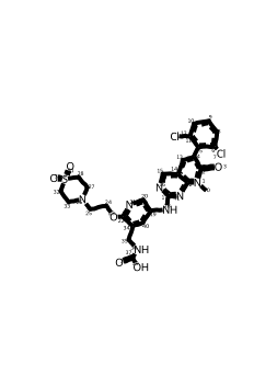 Cn1c(=O)c(-c2c(Cl)cccc2Cl)cc2cnc(Nc3cnc(OCCN4CCS(=O)(=O)CC4)c(CNC(=O)O)c3)nc21